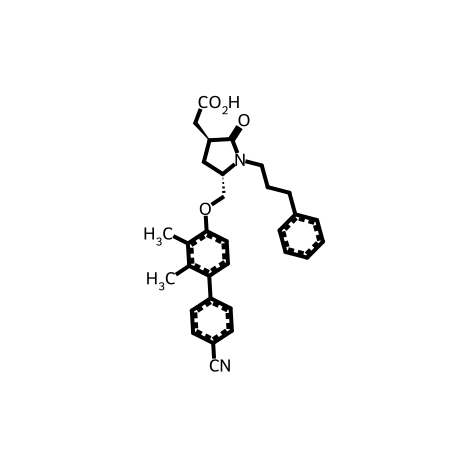 Cc1c(OC[C@@H]2C[C@@H](CC(=O)O)C(=O)N2CCCc2ccccc2)ccc(-c2ccc(C#N)cc2)c1C